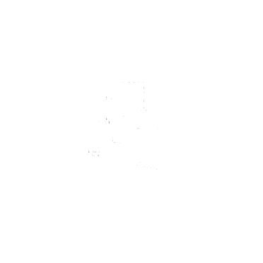 Cc1cccc2c1C(=N)NC21OCCO1